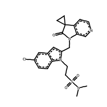 CN(C)S(=O)(=O)CCn1c(CN2C(=O)C3(CC3)c3ccncc32)cc2cc(Cl)ccc21